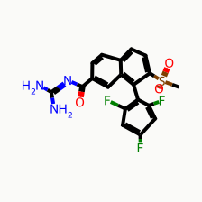 CS(=O)(=O)c1ccc2ccc(C(=O)N=C(N)N)cc2c1-c1c(F)cc(F)cc1F